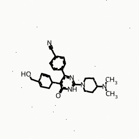 CN(C)C1CCN(c2nc(-c3ccc(C#N)cc3)c(C3C=CC(CO)=CC3)c(=O)[nH]2)CC1